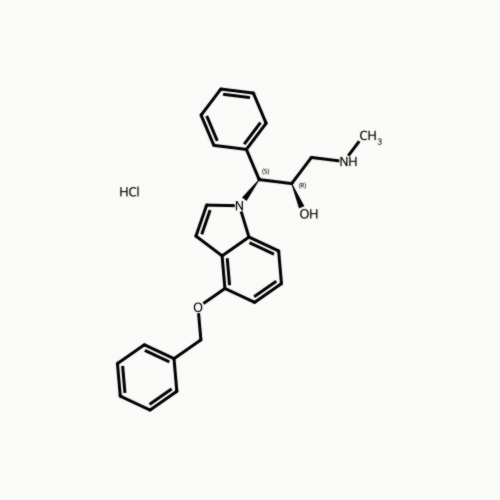 CNC[C@@H](O)[C@H](c1ccccc1)n1ccc2c(OCc3ccccc3)cccc21.Cl